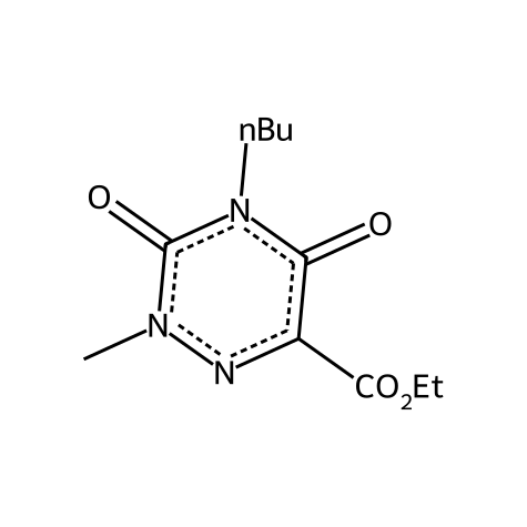 CCCCn1c(=O)c(C(=O)OCC)nn(C)c1=O